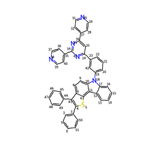 c1ccc(-c2sc3c(ccc4c3c3ccccc3n4-c3cccc(-c4cc(-c5ccncc5)nc(-c5ccncc5)n4)c3)c2-c2ccccc2)cc1